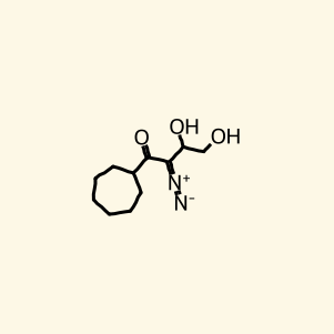 [N-]=[N+]=C(C(=O)C1CCCCCC1)C(O)CO